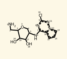 NCC1OCC(Nc2nc(Cl)nn3cccc23)C(O)C1O